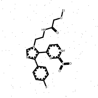 CCOCC(=O)NCCn1cnc(-c2ccc(F)cc2)c1-c1cc[nH]c(=S(=O)=O)n1